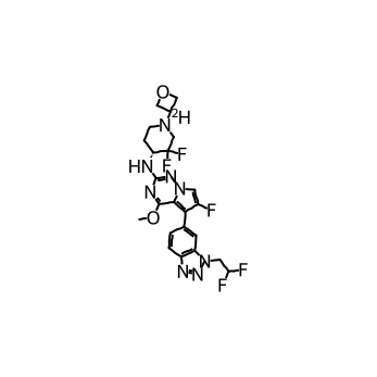 [2H]C1(N2CC[C@@H](Nc3nc(OC)c4c(-c5ccc6nnn(CC(F)F)c6c5)c(F)cn4n3)C(F)(F)C2)COC1